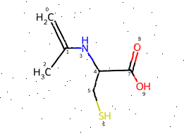 C=C(C)NC(CS)C(=O)O